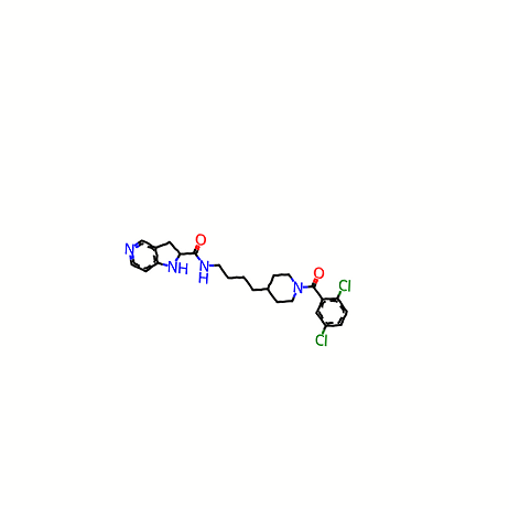 O=C(NCCCCC1CCN(C(=O)c2cc(Cl)ccc2Cl)CC1)C1Cc2cnccc2N1